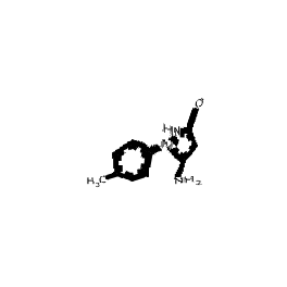 Cc1ccc(-n2[nH]c(=O)cc2N)cc1